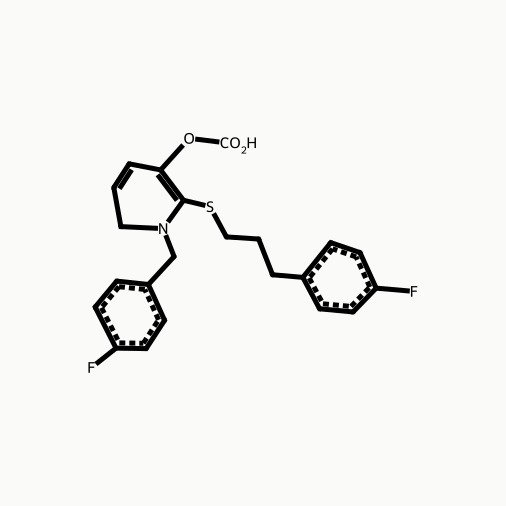 O=C(O)OC1=C(SCCCc2ccc(F)cc2)N(Cc2ccc(F)cc2)CC=C1